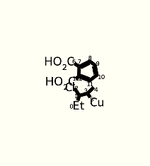 CCC(Cl)[CH](C)[Cu].O=C(O)c1ccccc1C(=O)O